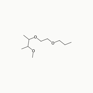 CCCOCCOC(C)C(C)OC